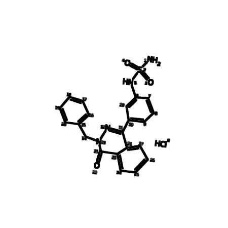 Cl.NS(=O)(=O)Nc1cccc(-c2nn(Cc3ccccc3)c(=O)c3ccccc23)c1